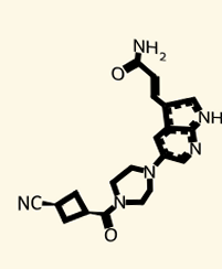 N#C[C@H]1C[C@@H](C(=O)N2CCN(c3cnc4[nH]cc(/C=C/C(N)=O)c4c3)CC2)C1